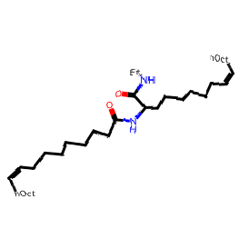 CCCCCCCC/C=C\CCCCCCCC(=O)NC(CCCCCC/C=C\CCCCCCCC)C(=O)NCC